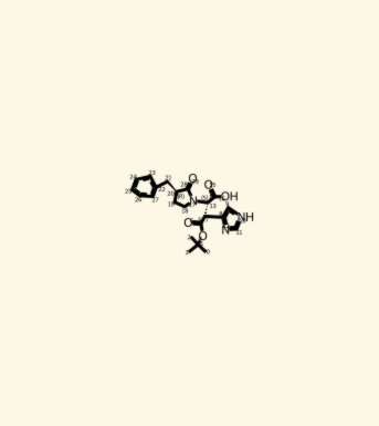 CC(C)(C)OC(=O)C(c1c[nH]cn1)[C@@H](C(=O)O)N1CC[C@@H](Cc2ccccc2)C1=O